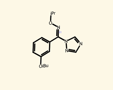 CC(C)COc1cccc(/C(=N\OC(C)C)n2cncn2)c1